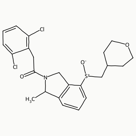 CC1c2cccc([S+]([O-])CC3CCOCC3)c2CN1C(=O)Cc1c(Cl)cccc1Cl